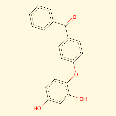 O=C(c1ccccc1)c1ccc(Oc2ccc(O)cc2O)cc1